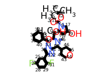 C[C@H](O)C(=O)N(C[C@@H]1CN(C(=O)OC(C)(C)C)C[C@H]1O)[C@@H](c1nc(-c2cc(F)ccc2F)cn1Cc1ccccc1)C1CCOCC1